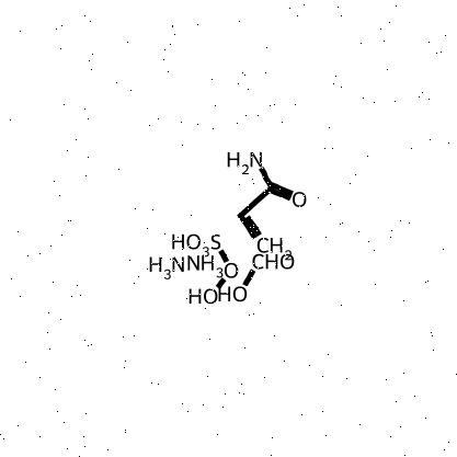 C=CC(N)=O.N.N.O=CO.O=S(=O)(O)OO